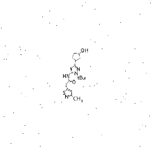 Cc1cc(CC(=O)Nc2cc(C3CCC(O)C3)nn2C(C)(C)C)sn1